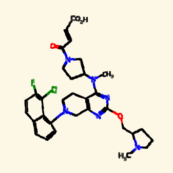 CN1CCCC1COc1nc2c(c(N(C)C3CCN(C(=O)/C=C/C(=O)O)C3)n1)CCN(c1cccc3ccc(F)c(Cl)c13)C2